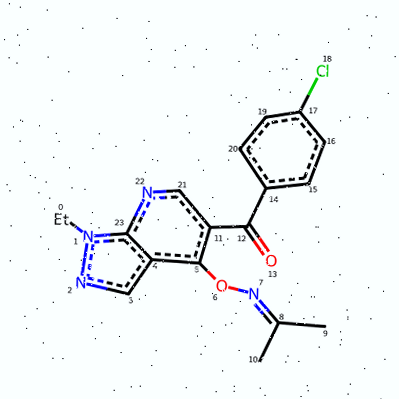 CCn1ncc2c(ON=C(C)C)c(C(=O)c3ccc(Cl)cc3)cnc21